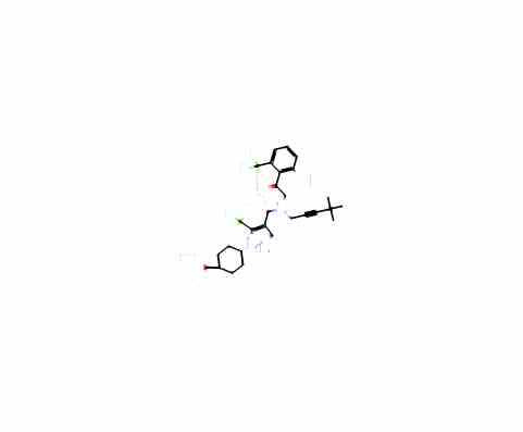 CC(C)(C)C#CCN(CC(=O)c1c(Cl)cccc1C(F)(F)F)C(=O)c1cnn([C@H]2CC[C@](C)(C(=O)O)CC2)c1C(F)(F)F